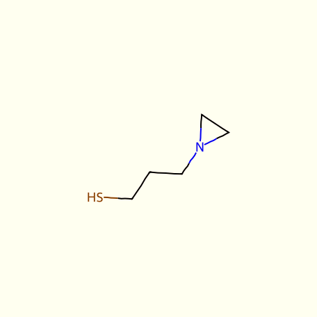 SCCCN1CC1